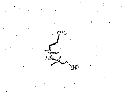 C[Si](C)(CCC=O)N[Si](C)(C)CCC=O